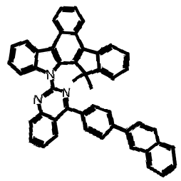 CC1(C)c2ccccc2-c2c1c1c(c3ccccc23)c2ccccc2n1-c1nc(-c2ccc(-c3ccc4ccccc4c3)cc2)c2ccccc2n1